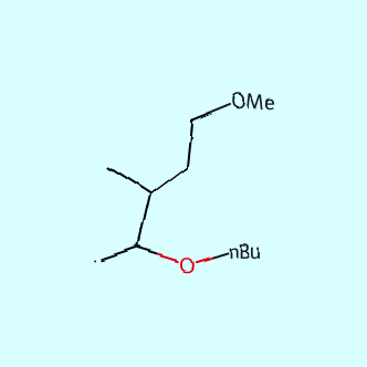 [CH2]C(OCCCC)C(C)CCOC